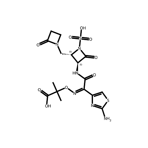 CC(C)(ON=C(C(=O)N[C@@H]1C(=O)N(S(=O)(=O)O)[C@H]1CN1CCC1=O)c1csc(N)n1)C(=O)O